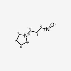 O=NCCCN1CCCC1